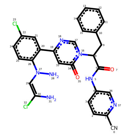 N#Cc1ccc(NC(=O)C(Cc2ccccc2)n2cnc(-c3cc(Cl)ccc3N(N)/C=C(\N)Cl)cc2=O)cn1